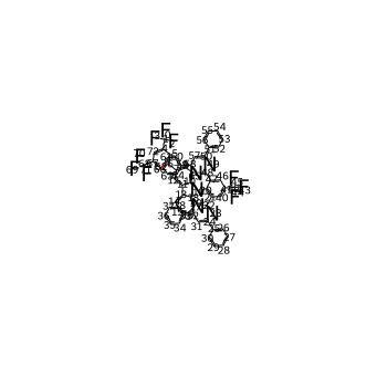 FC(F)(F)c1cc(-c2ccc3c(c2)c2ccccc2n3-c2c(-c3nc(-c4ccccc4)cc(-c4ccccc4)n3)cc(C(F)(F)F)cc2-c2nc(-c3ccccc3)cc(-c3ccccc3)n2)cc(C(F)(F)F)c1